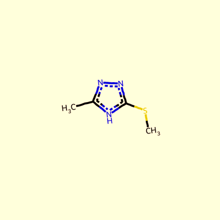 CSc1nnc(C)[nH]1